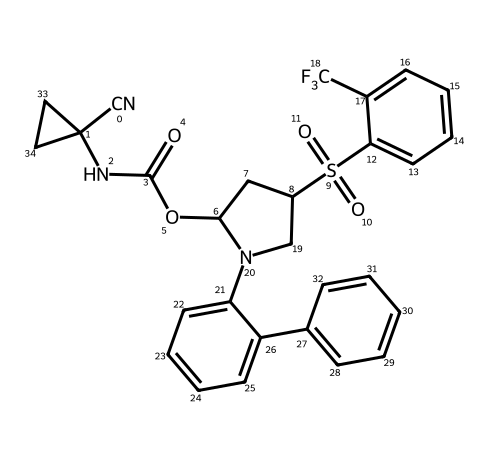 N#CC1(NC(=O)OC2CC(S(=O)(=O)c3ccccc3C(F)(F)F)CN2c2ccccc2-c2ccccc2)CC1